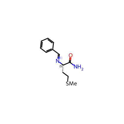 CSCC[C@H](/N=C/c1ccccc1)C(N)=O